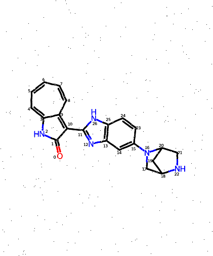 O=c1[nH]c2cccccc-2c1-c1nc2cc(N3CC4CC3CN4)ccc2[nH]1